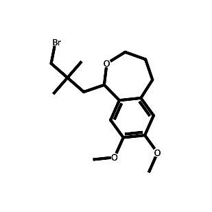 COc1cc2c(cc1OC)C(CC(C)(C)CBr)OCCC2